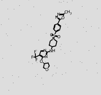 Cc1nnc(-c2ccc(S(=O)(=O)N3CCC(Nc4ncc(C(F)(F)F)c(O[C@H]5CCOC5)n4)CC3)cc2)o1